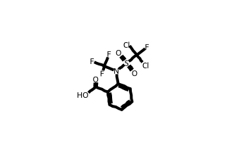 O=C(O)c1ccccc1N(C(F)(F)F)S(=O)(=O)C(F)(Cl)Cl